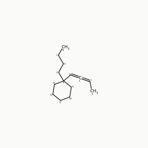 CC=C=CC1(CCCC)CCCCC1